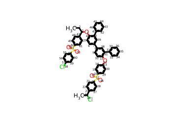 CCC(Oc1ccc(-c2ccc(Oc3ccc(S(=O)(=O)c4ccc(C(C)Cl)cc4)cc3)c(-c3ccccc3)c2)cc1-c1ccccc1)c1ccc(S(=O)(=O)c2ccc(Cl)cc2)cc1